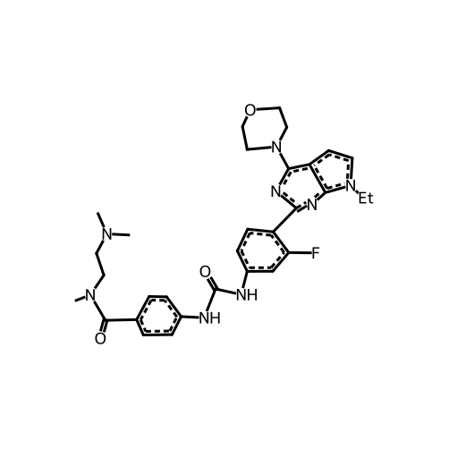 CCn1ccc2c(N3CCOCC3)nc(-c3ccc(NC(=O)Nc4ccc(C(=O)N(C)CCN(C)C)cc4)cc3F)nc21